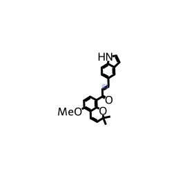 COc1ccc(C(=O)/C=C/c2ccc3[nH]ccc3c2)c2c1C=CC(C)(C)O2